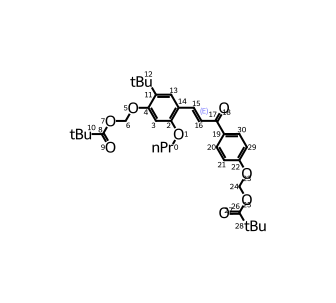 CCCOc1cc(OCOC(=O)C(C)(C)C)c(C(C)(C)C)cc1/C=C/C(=O)c1ccc(OCOC(=O)C(C)(C)C)cc1